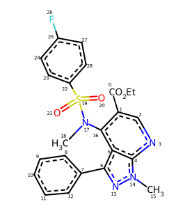 CCOC(=O)c1cnc2c(c(-c3ccccc3)nn2C)c1N(C)S(=O)(=O)c1ccc(F)cc1